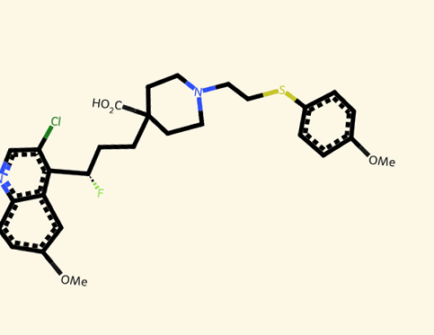 COc1ccc(SCCN2CCC(CC[C@H](F)c3c(Cl)cnc4ccc(OC)cc34)(C(=O)O)CC2)cc1